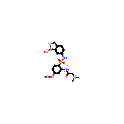 CCCCOc1ccc(S(=O)(=O)Nc2ccc3c(c2)B(O)OC3)c(NC(=O)CN(C)C)c1